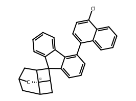 Clc1ccc(-c2cccc3c2-c2ccccc2C32C3CC4CC5CC2[C@@]53C4)c2ccccc12